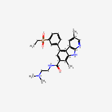 CCS(=O)(=O)c1cccc(-c2cc(C(=O)NCCN(C)C)c(C)c3[nH]c4ncc(C)cc4c23)c1